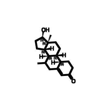 CC1CC2=CC(=O)CC[C@@H]2[C@H]2CC[C@]3(C)[C@@H](O)CC[C@H]3[C@H]12